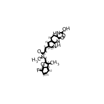 Cc1c(CN(C)C(=O)/C=C/c2cnc3c(c2)CCC(NC(=O)O)C(=O)N3)oc2c(F)cccc12